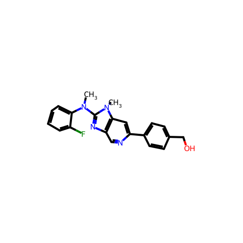 CN(c1ccccc1F)c1nc2cnc(-c3ccc(CO)cc3)cc2n1C